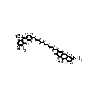 CCCCC(c1ccc(CCCCCCCCCCCc2ccc(C(CCCC)c3ccc(N)cc3C)cc2)cc1)c1ccc(N)cc1C